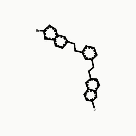 Brc1ccc2cc(CCc3cccc(CCc4ccc5cc(Br)ccc5c4)c3)ccc2c1